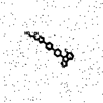 OC[C@H](O)Cn1cc(-c2ccc(N3CCC(C4c5c(F)cccc5-c5cncn54)CC3)cc2)cn1